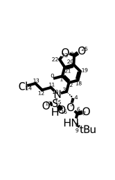 Cc1c([C@H](COC(=O)NC(C)(C)C)N(CCCCl)[SH](=O)=O)ccc2c1COC2=O